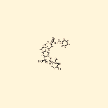 O=C1CCC(NCc2cc3c(cc2C(=O)O)COC32CCN(C(=O)OCc3ccccc3)CC2)C(=O)N1